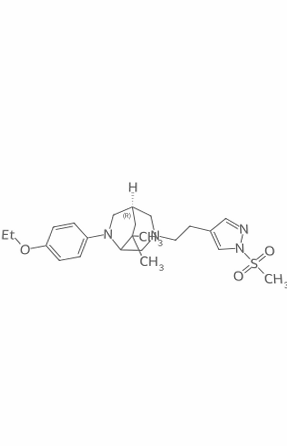 CCOc1ccc(N2C[C@H]3CN(CCc4cnn(S(C)(=O)=O)c4)CC2C(C)(C)C3)cc1